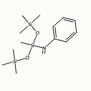 C[Si](C)(C)O[Si](C)(Nc1ccccc1)O[Si](C)(C)C